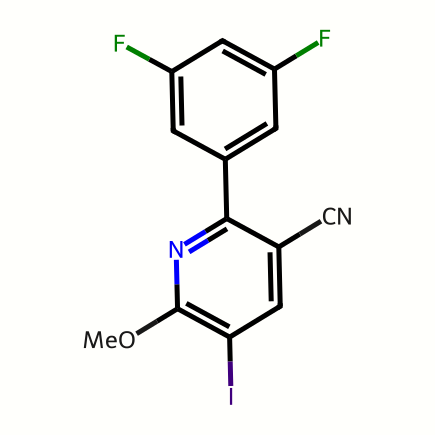 COc1nc(-c2cc(F)cc(F)c2)c(C#N)cc1I